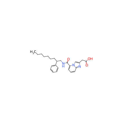 CCCCCCCC(CNC(=O)c1cccc2nc(CC(=O)O)cn12)c1ccccc1